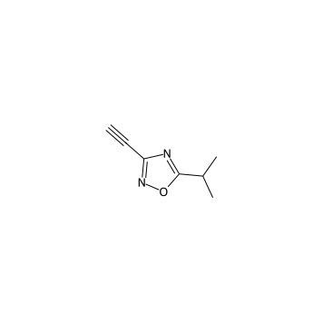 C#Cc1noc(C(C)C)n1